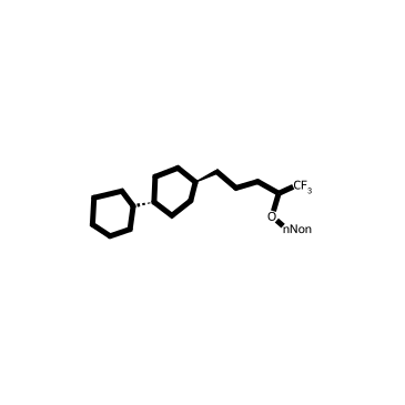 CCCCCCCCCOC(CCC[C@H]1CC[C@H](C2CCCCC2)CC1)C(F)(F)F